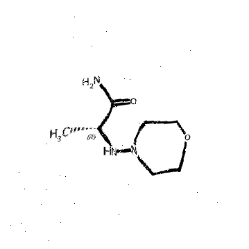 C[C@@H](NN1CCOCC1)C(N)=O